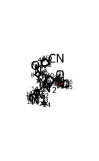 N#Cc1ccc(C(=O)N2CC(Cn3c(-c4cc5cccnc5n4CC4CC4)nc4cc(C(=O)N5CC6CCC5[C@@H]6N)cc(F)c43)C2)cc1